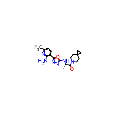 C[C@H](Nc1nnc(-c2ccc(C(F)(F)F)nc2N)o1)C(=O)N1CCC2(CC1)CC2